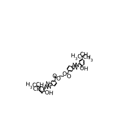 CC(C)(C)c1ccc(O)c(-n2n3c4ccc(C(=O)OCCOC(=O)c5ccc6c(c5)n5n(-c7cc(C(C)(C)C)ccc7O)n65)cc4n23)c1